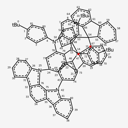 CC(C)(C)c1ccc(N2c3ccc(C(C)(C)C)cc3B3c4cc(C(C)(C)C)ccc4Oc4cc(-n5c6ccccc6c6ccc7c8ccccc8n(-c8ccc(N9c%10ccccc%10C%10(c%11ccccc%11-c%11ccccc%11%10)c%10ccccc%109)cc8)c7c65)cc2c43)cc1